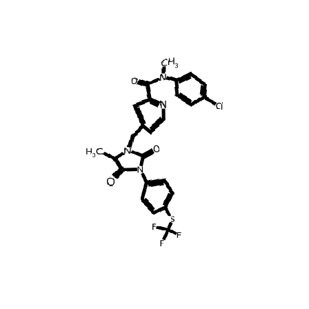 CC1C(=O)N(c2ccc(SC(F)(F)F)cc2)C(=O)N1Cc1ccnc(C(=O)N(C)c2ccc(Cl)cc2)c1